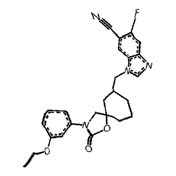 CCOc1cccc(N2CC3(CCCC(Cn4cnc5cc(F)c(C#N)cc54)C3)OC2=O)c1